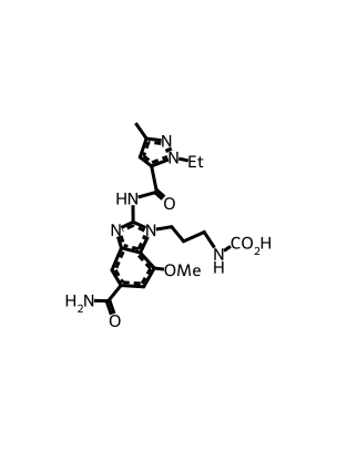 CCn1nc(C)cc1C(=O)Nc1nc2cc(C(N)=O)cc(OC)c2n1CCCNC(=O)O